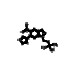 CC(C)(O)CCn1ncc2cc([N+](=O)[O-])c(-c3ccoc3)cc21